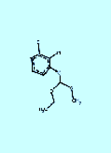 CCOC(OC)Oc1cc[c]c(Cl)c1Cl